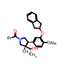 COc1ccc([C@@H]2CN(C(=O)C(C)C)C[C@@]2(C)[C@@H](C)O)cc1OC1Cc2ccccc2C1